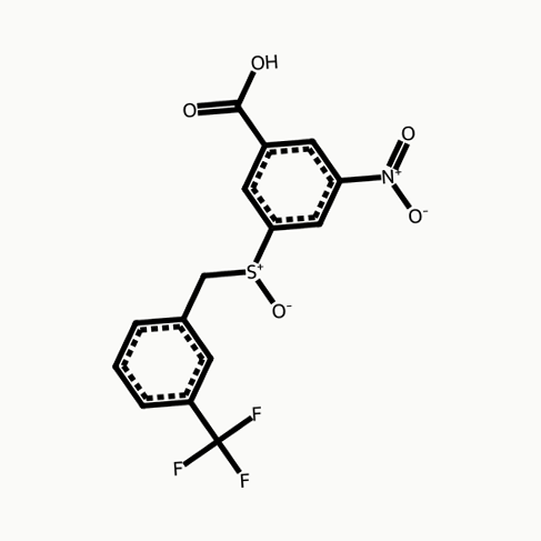 O=C(O)c1cc([N+](=O)[O-])cc([S+]([O-])Cc2cccc(C(F)(F)F)c2)c1